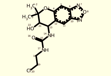 CC1(C)Oc2cc3nonc3cc2C(NC(=O)NCCCl)C1O